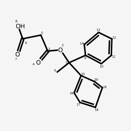 CC(OC(=O)CC(=O)O)(c1ccccc1)c1ccccc1